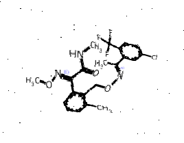 CNC(=O)/C(=N/OC)c1cccc(C)c1CO/N=C(\C)c1cc(Cl)ccc1C(F)(F)F